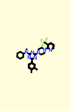 Cc1ccc(-c2nc(N3CCN(c4ncccc4C(F)(F)F)CC3)nc(N(C)C3CCCCC3)n2)cc1C